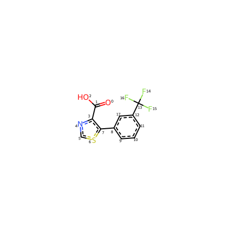 O=C(O)c1ncsc1-c1cccc(C(F)(F)F)c1